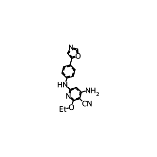 CCOc1nc(Nc2ccc(-c3cnco3)cc2)cc(N)c1C#N